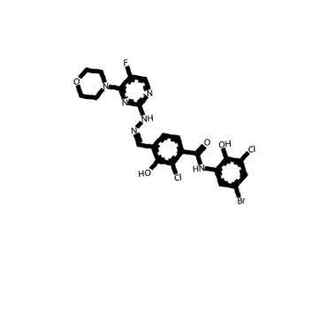 O=C(Nc1cc(Br)cc(Cl)c1O)c1ccc(/C=N\Nc2ncc(F)c(N3CCOCC3)n2)c(O)c1Cl